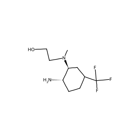 CN(CCO)[C@H]1CC(C(F)(F)F)CC[C@@H]1N